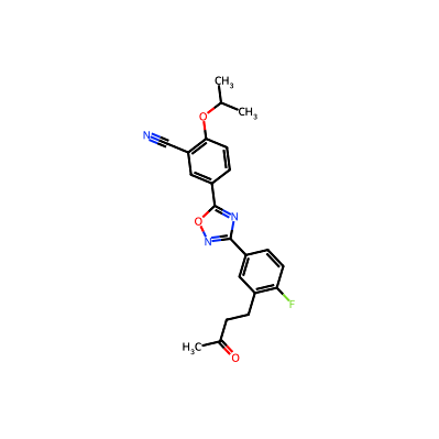 CC(=O)CCc1cc(-c2noc(-c3ccc(OC(C)C)c(C#N)c3)n2)ccc1F